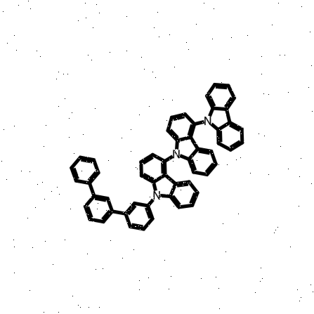 c1ccc(-c2cccc(-c3cccc(-n4c5ccccc5c5c(-n6c7ccccc7c7c(-n8c9ccccc9c9ccccc98)cccc76)cccc54)c3)c2)cc1